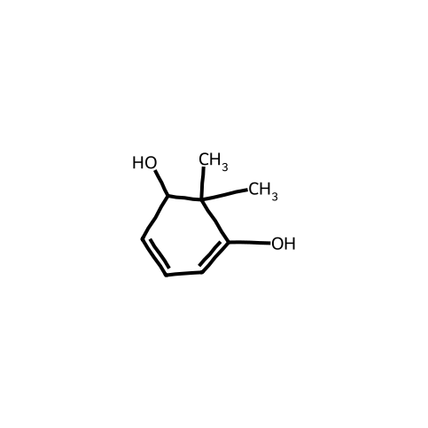 CC1(C)C(O)=CC=CC1O